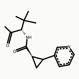 CC(=O)[C@@H](NC(=O)[C@@H]1CC1c1cccnc1)C(C)(C)C